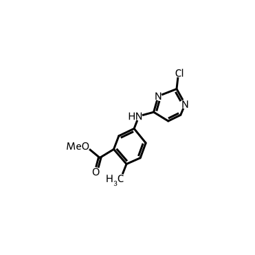 COC(=O)c1cc(Nc2ccnc(Cl)n2)ccc1C